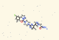 Cc1cc(F)cc(C2CC=NN2C(=O)N2CCN(c3ncc(C)c(-c4cnn(CC(N)=O)c4)n3)CC2)c1